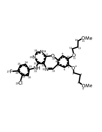 COCCCOc1cc2c(cc1OCCCOC)Oc1ncnc(Nc3ccc(F)c(Cl)c3)c1N=C2